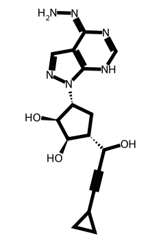 N/N=c1/nc[nH]c2c1cnn2[C@@H]1C[C@H](C(O)C#CC2CC2)[C@@H](O)[C@H]1O